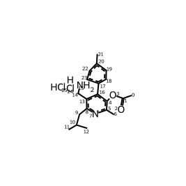 CC(=O)Oc1c(C)nc(CC(C)C)c(CN)c1-c1ccc(C)cc1.Cl.Cl